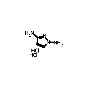 Cl.Cl.Nc1ccn(N)n1